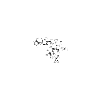 Cc1ncsc1-c1ccc(CNC(=O)[C@@H]2[C@@H](F)[C@@H](O)CN2C(=O)C(NC(=O)C2(F)CC2)C(C)(C)C)cc1